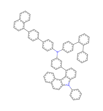 c1ccc(-c2ccccc2-c2ccc(N(c3ccc(-c4ccc(-c5cccc6ccccc56)cc4)cc3)c3cccc(-c4cccc5c4c4c6ccccc6ccc4n5-c4ccccc4)c3)cc2)cc1